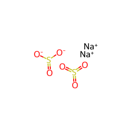 O=S(=O)=O.O=S([O-])[O-].[Na+].[Na+]